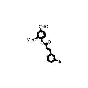 COc1cc(C=O)ccc1OC(=O)/C=C/c1cccc(Br)c1